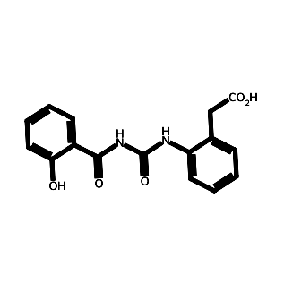 O=C(O)Cc1ccccc1NC(=O)NC(=O)c1ccccc1O